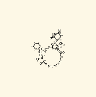 CC1N[P@@](=O)(Oc2ccccc2)OCC2O[C@@H](n3ccc(=O)[nH]c3=O)[C@](C)(F)[C@@H]2OC(=O)CCCCCCOC1=O